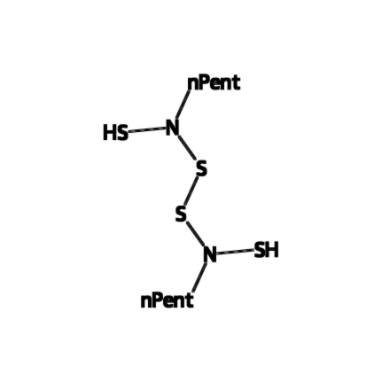 CCCCCN(S)SSN(S)CCCCC